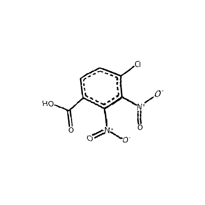 O=C(O)c1ccc(Cl)c([N+](=O)[O-])c1[N+](=O)[O-]